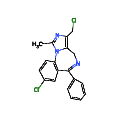 Cc1nc(CCl)c2n1-c1ccc(Cl)cc1C(c1ccccc1)=NC2